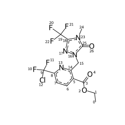 CCOC(=O)c1ccc(C(F)(F)Cl)nc1Cn1nc(C(F)(F)F)n(C)c1=O